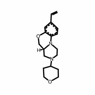 C=Cc1ccc2c(c1)OC[C@H]1CN(C3CCOCC3)CCN21